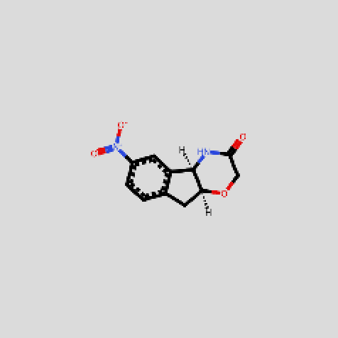 O=C1CO[C@H]2Cc3ccc([N+](=O)[O-])cc3[C@H]2N1